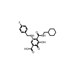 O=C(O)c1cn(NCc2ccc(F)cc2)c(C(=O)NCC2CCCCC2)c(O)c1=O